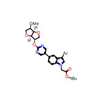 CO[C@@H]1CO[C@H]2[C@@H]1OC[C@H]2Oc1ncc(-c2ccc3c(c2)c(C(C)=O)cn3CC(=O)OC(C)(C)C)cn1